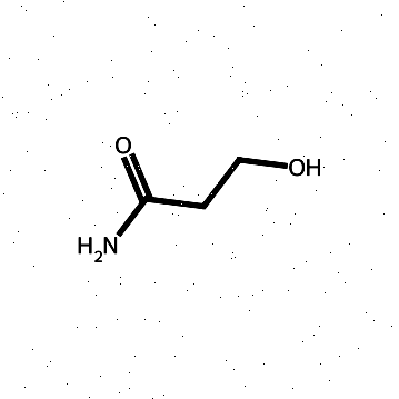 NC(=O)CCO